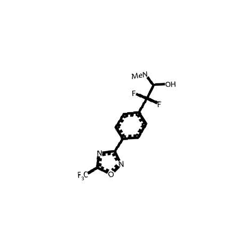 CNC(O)C(F)(F)c1ccc(-c2noc(C(F)(F)F)n2)cc1